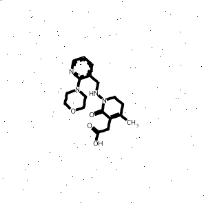 CC1=C(CC(=O)O)C(=O)N(NCc2cccnc2N2CCOCC2)CC1